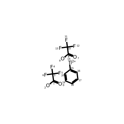 O=C([O-])C(F)(F)F.O=C([O-])C(F)(F)F.[Tl+2][c]1ccccc1